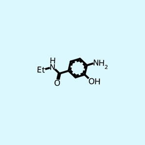 CCNC(=O)c1ccc(N)c(O)c1